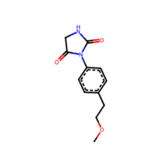 COCCc1ccc(N2C(=O)CNC2=O)cc1